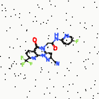 N#Cc1cc2n(CC(=O)Nc3ccc(F)cn3)c(=O)c3ccc(C(F)(F)F)nc3n2n1